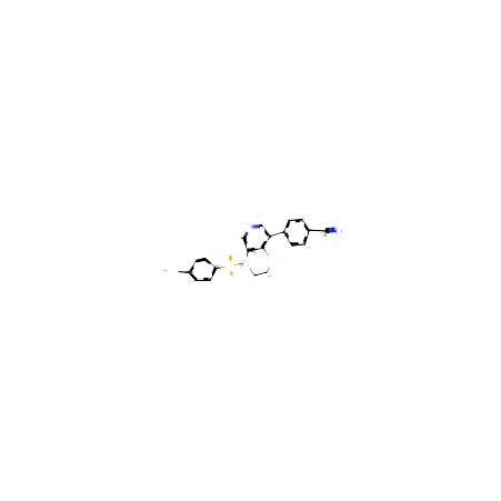 Cc1ccc(S(=O)(=O)N2CCOc3c(-c4ccc(C#N)cc4)cncc32)cc1